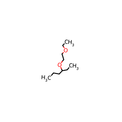 CCCC(CC)OCCOCC